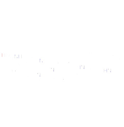 O=C(NO)c1cnc(N2CCC(CNCc3cccc4cc[nH]c34)CC2)nc1